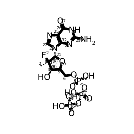 C[C@@]1(F)[C@H](O)C(COP(=O)(O)OP(=O)(O)OP(=O)(O)O)O[C@H]1n1cnc2c(=O)[nH]c(N)nc21